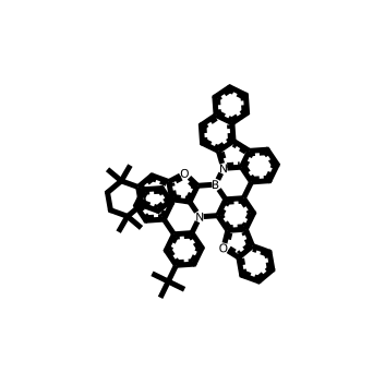 CC(C)(C)c1ccc(N2c3c(oc4cc5c(cc34)C(C)(C)CCC5(C)C)B3c4c(cc5c(oc6ccccc65)c42)-c2cccc4c5c6ccccc6ccc5n3c24)c(-c2ccccc2)c1